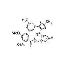 COc1ccc(C(=O)NC[C@@H]2C3C[C@H]3CN2C(=O)c2nc(C)sc2-c2cccc(C)c2)c(OC)c1